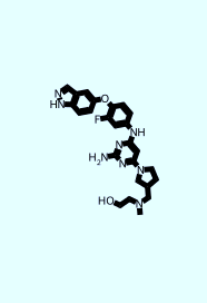 CN(CCO)CC1CCN(c2cc(Nc3ccc(Oc4ccc5[nH]ncc5c4)c(F)c3)nc(N)n2)C1